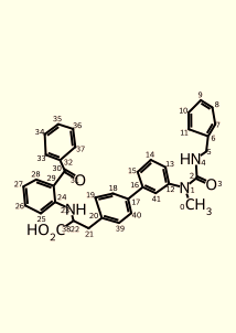 CN(C(=O)NCc1ccccc1)c1cccc(-c2ccc(CC(Nc3ccccc3C(=O)c3ccccc3)C(=O)O)cc2)c1